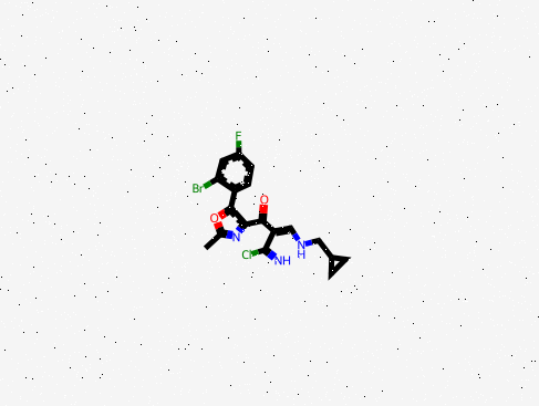 Cc1nc(C(=O)/C(=C/NCC2CC2)C(=N)Cl)c(-c2ccc(F)cc2Br)o1